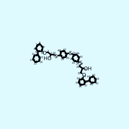 OC(COc1ccccc1-c1ccccc1)CSc1ccc(Sc2ccc(SCC(O)COc3ccccc3-c3ccccc3)cc2)cc1